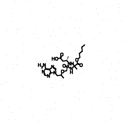 CCCCCOC(=O)C(C)(C)N[P@@](=O)(COC(C)Cn1cnc2c(N)ncnc21)N[C@@H](C)CC(=O)O